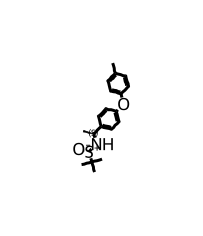 Cc1ccc(Oc2ccc([C@H](C)N[S+]([O-])C(C)(C)C)cc2)cc1